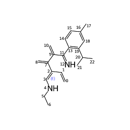 C=C/C(=C\NCC)C(=C)C(=C)C(=N)c1ccc(C)cc1C(C)C